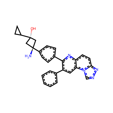 N[C@]1(c2ccc(-c3nc4ccc5nncn5c4cc3-c3ccccc3)cc2)C[C@](O)(C2CC2)C1